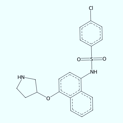 O=S(=O)(Nc1ccc(OC2CCNC2)c2ccccc12)c1ccc(Cl)cc1